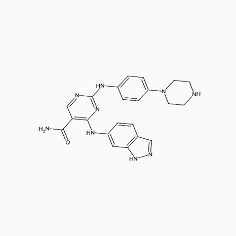 NC(=O)c1cnc(Nc2ccc(N3CCNCC3)cc2)nc1Nc1ccc2cn[nH]c2c1